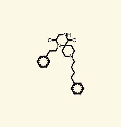 O=C1CNC(=O)C2(CCN(CCCCc3ccccc3)CC2)N1CCc1ccccc1